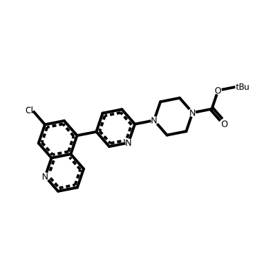 CC(C)(C)OC(=O)N1CCN(c2ccc(-c3cc(Cl)cc4ncccc34)cn2)CC1